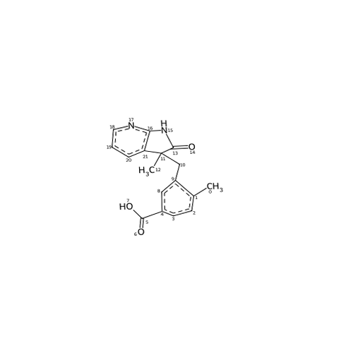 Cc1ccc(C(=O)O)cc1CC1(C)C(=O)Nc2ncccc21